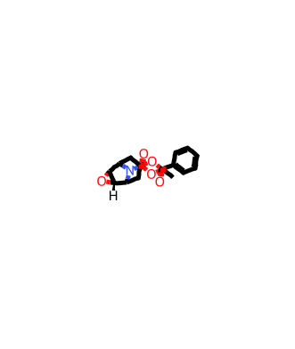 CCOC(=O)N1C2CC(OC(=O)c3ccccc3)CC1[C@@H]1OC21